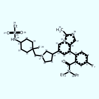 CCN(C(=O)c1cc(F)ccc1-c1cc(C2CCN(CC3(F)CCC(NS(=O)(=O)CC)CC3)C2)cn2c(C)ncc12)C(C)C